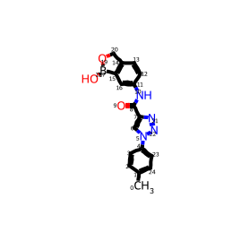 Cc1ccc(-n2cc(C(=O)Nc3ccc4c(c3)B(O)OC4)nn2)cc1